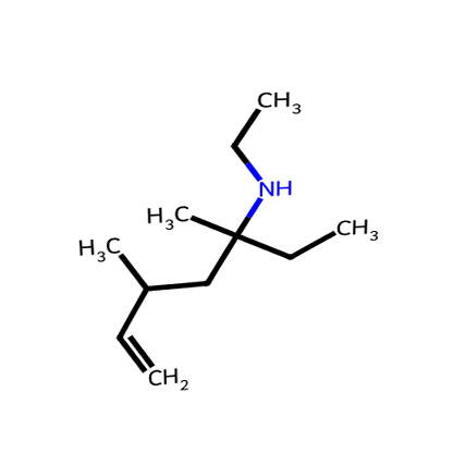 C=CC(C)CC(C)(CC)NCC